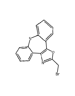 BrCc1nc2c(o1)-c1ccccc1Sc1ccccc1-2